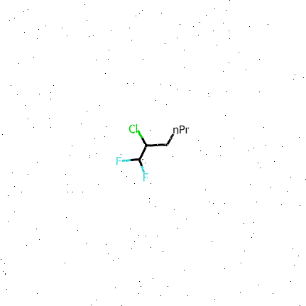 CCCCC(Cl)[C](F)F